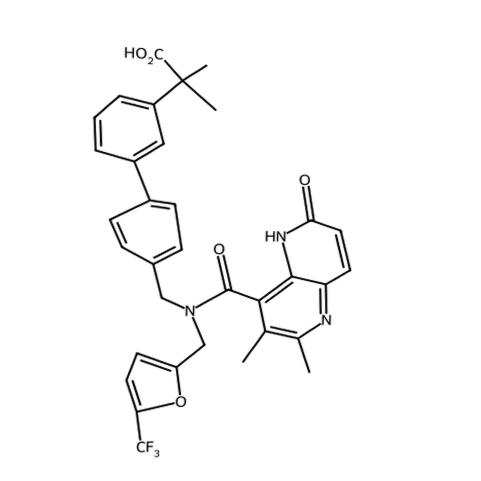 Cc1nc2ccc(=O)[nH]c2c(C(=O)N(Cc2ccc(-c3cccc(C(C)(C)C(=O)O)c3)cc2)Cc2ccc(C(F)(F)F)o2)c1C